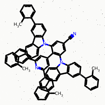 Cc1ccccc1-c1ccc2c(c1)c1cc(-c3ccccc3C)ccc1n2-c1cc(C#N)cc(-n2c3ccc(-c4ccccc4C)cc3c3cc(-c4ccccc4C)ccc32)c1-c1cc(-c2ccccc2)nc(-c2ccccc2)c1